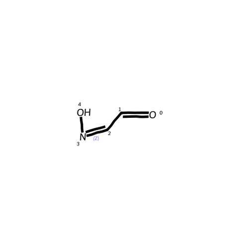 O=C/C=N\O